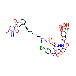 CN(C(=O)[C@@H]1C[C@@H](OCC(=O)NCCCCCCCCC#Cc2cccc3c2CN(C2CCC(=O)NC2=O)C3=O)CN1C(=O)C(NC(=O)c1cc2cc(C(F)(F)P(=O)(O)O)ccc2s1)C(C)(C)C)c1ccc(Br)cc1